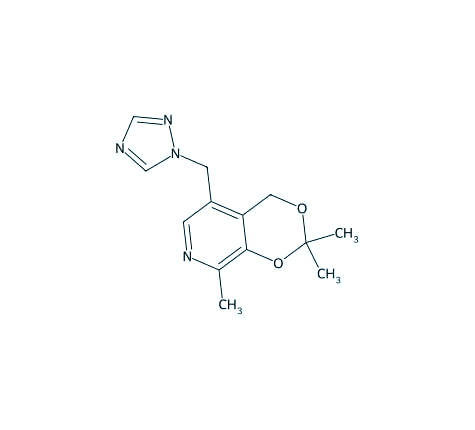 Cc1ncc(Cn2cncn2)c2c1OC(C)(C)OC2